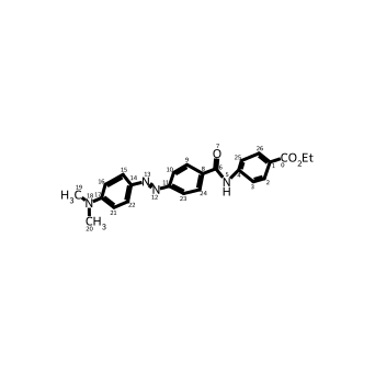 CCOC(=O)c1ccc(NC(=O)c2ccc(N=Nc3ccc(N(C)C)cc3)cc2)cc1